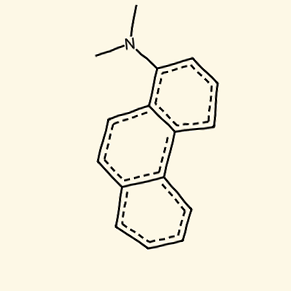 CN(C)c1cccc2c1ccc1ccccc12